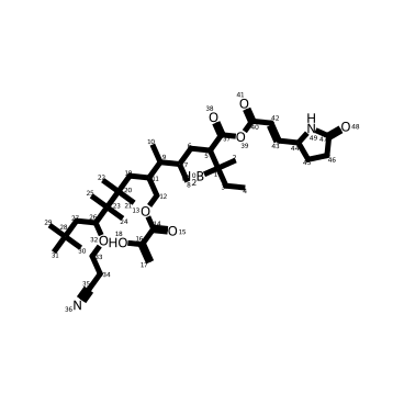 BC(C)(CC)C(CC(C)C(C)C(COC(=O)C(=C)O)CC(C)(C)C(C)(C)C(CC(C)(C)C)OCCC#N)C(=O)OC(=O)/C=C/C1CCC(=O)N1